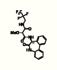 COC(C(=O)NCC(F)(F)C(F)(F)F)C(=O)N[C@@H]1C(=O)Nc2ccccc2-c2ccccc21